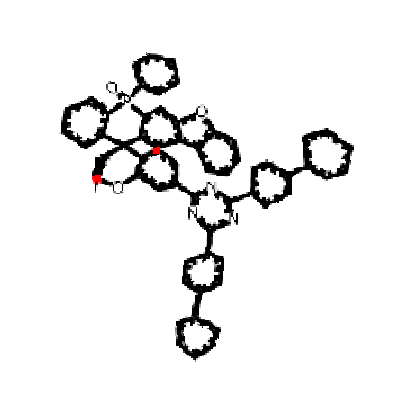 O=P1(c2ccccc2)c2ccccc2C2(c3ccccc3Oc3cc(-c4nc(-c5ccc(-c6ccccc6)cc5)nc(-c5ccc(-c6ccccc6)cc5)n4)ccc32)c2cc3c(cc21)oc1ccccc13